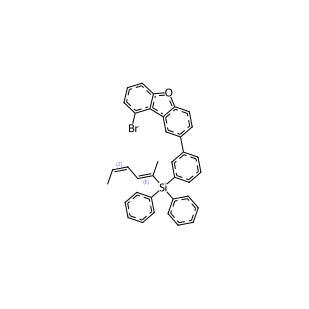 C/C=C\C=C(/C)[Si](c1ccccc1)(c1ccccc1)c1cccc(-c2ccc3oc4cccc(Br)c4c3c2)c1